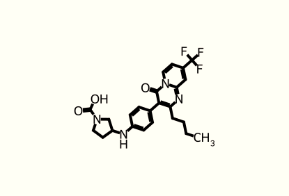 CCCCc1nc2cc(C(F)(F)F)ccn2c(=O)c1-c1ccc(NC2CCN(C(=O)O)C2)cc1